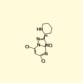 Cl.Clc1cc(Cl)n2nc([C@@H]3CCCCN3)cc2n1